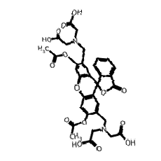 CC(=O)Oc1cc2c(cc1CN(CC(=O)O)CC(=O)O)C1(OC(=O)c3ccccc31)c1cc(CN(CC(=O)O)CC(=O)O)c(OC(C)=O)cc1O2